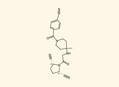 C#C[C@H]1CC[C@@H](C#N)N1C(=O)CNC1(C)CCN(C(=O)c2ccc(C#N)cc2)CC1